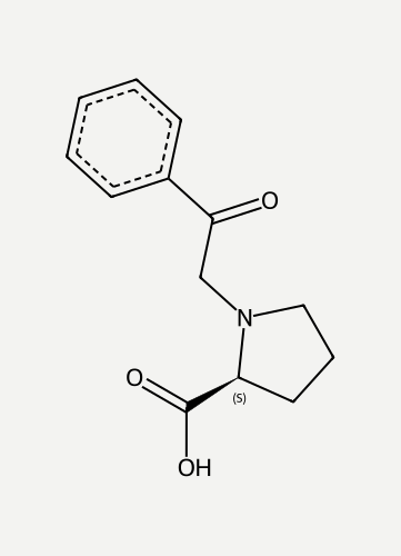 O=C(CN1CCC[C@H]1C(=O)O)c1ccccc1